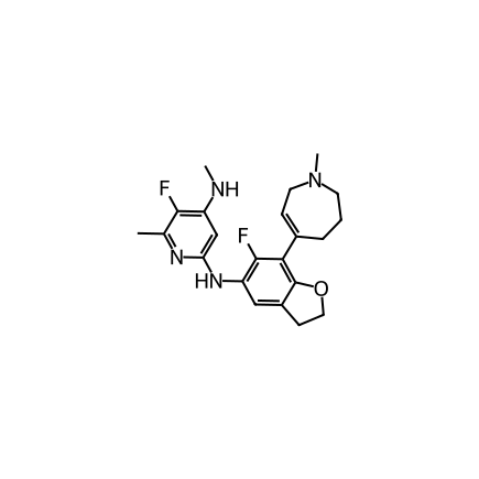 CNc1cc(Nc2cc3c(c(C4=CCN(C)CCC4)c2F)OCC3)nc(C)c1F